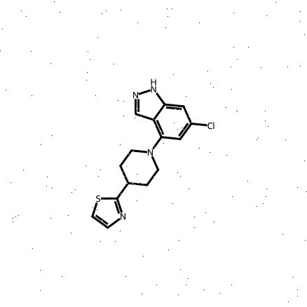 Clc1cc(N2CCC(c3nccs3)CC2)c2cn[nH]c2c1